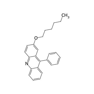 CCCCCCOc1ccc2nc3ccccc3c(-c3ccccc3)c2c1